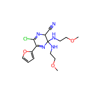 COCCNC1(NCCOC)N=C(c2ccco2)C(Cl)=NC1C#N